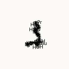 CCCS(=O)(=O)Nc1ccc(F)c(C(=O)c2c[nH]c3ncc(N4CCN(CCCC(=O)N[C@H](C(=O)N5C[C@H](O)C[C@H]5C(=O)NCc5ccc(-c6scnc6C)cc5)C(C)(C)C)CC4)cc23)c1F